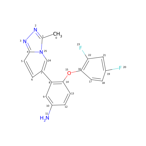 Cc1nnc2ccc(-c3cc(N)ccc3Oc3ccc(F)cc3F)cn12